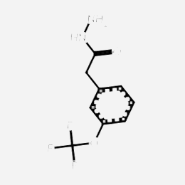 NNC(=O)Cc1cccc(OC(F)(F)F)c1